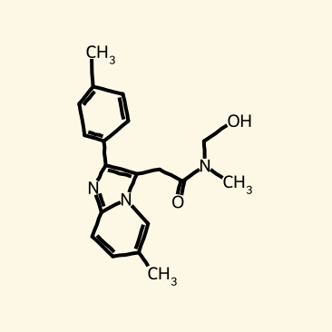 Cc1ccc(-c2nc3ccc(C)cn3c2CC(=O)N(C)CO)cc1